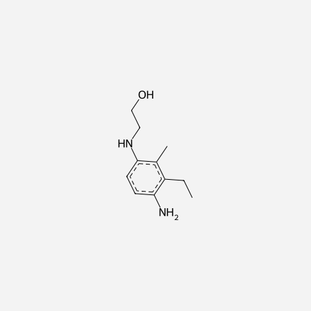 CCc1c(N)ccc(NCCO)c1C